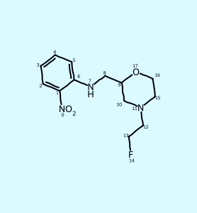 O=[N+]([O-])c1ccccc1NCC1CN(CCF)CCO1